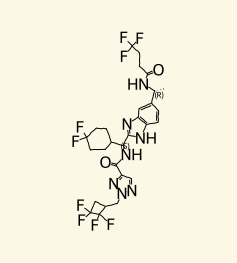 C[C@@H](NC(=O)CCC(F)(F)F)c1ccc2[nH]c([C@@H](NC(=O)c3cnn(CC4CC(F)(F)C4(F)F)n3)C3CCC(F)(F)CC3)nc2c1